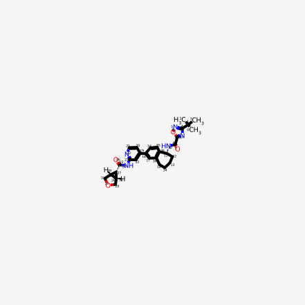 CC(C)(C)c1noc(C(=O)N[C@@H]2CCCCc3cc(-c4ccnc(NC(=O)[C@@H]5[C@@H]6COC[C@@H]65)c4)ccc32)n1